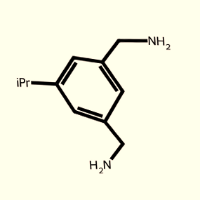 CC(C)c1cc(CN)cc(CN)c1